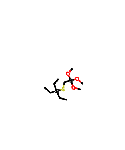 CC[Si](CC)(CC)SC[Si](OC)(OC)OC